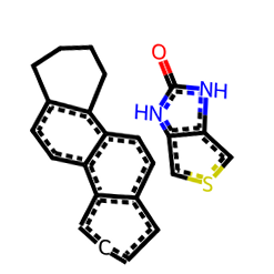 O=c1[nH]c2cscc2[nH]1.c1ccc2c(c1)ccc1c3c(ccc12)CCCC3